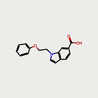 O=C(O)c1ccc2ccn(CCOc3ccccc3)c2c1